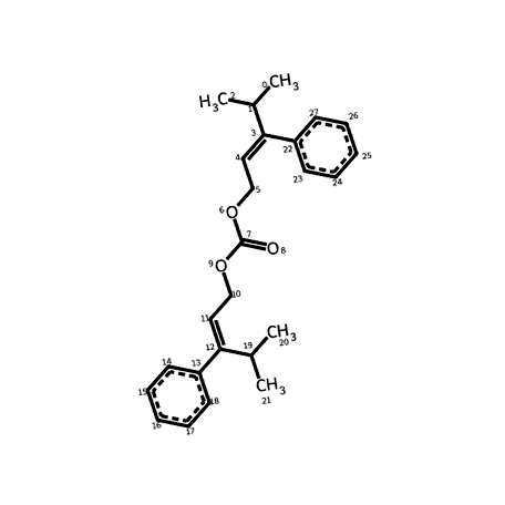 CC(C)C(=CCOC(=O)OCC=C(c1ccccc1)C(C)C)c1ccccc1